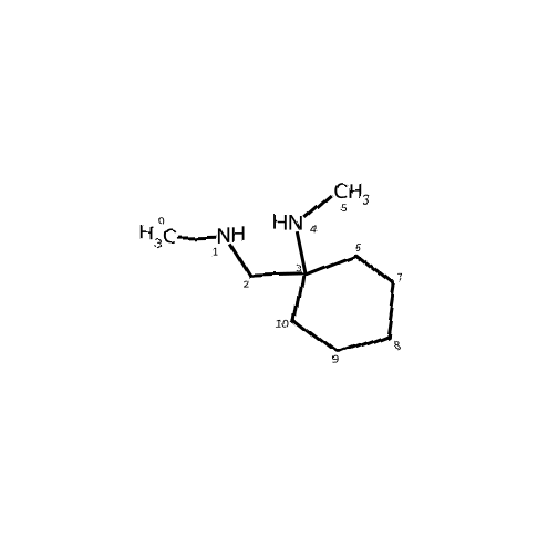 CNCC1(NC)CCCCC1